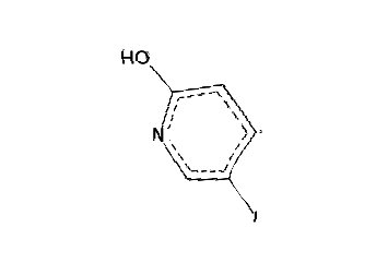 Oc1c[c]c(I)cn1